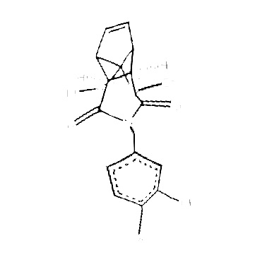 CCOC1(OCC)C2C=CC1[C@@H]1C(=O)N(c3ccc(Br)c(C(F)(F)F)c3)C(=O)[C@H]21